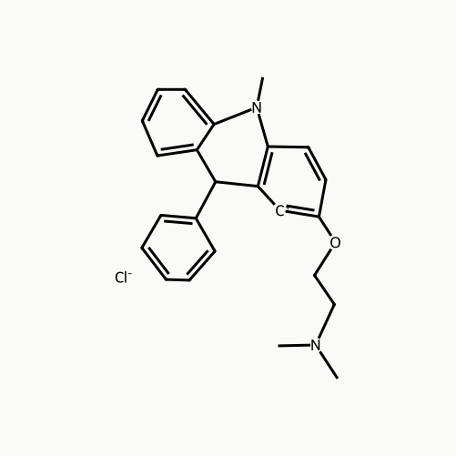 CN(C)CCOC1=[C+]C2=C(C=C1)N(C)c1ccccc1C2c1ccccc1.[Cl-]